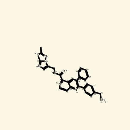 Cc1nn2c(CNC(=O)c3nccc4nc(-c5ccc(CN)cc5)c(-c5ccccc5)cc34)cnc2s1